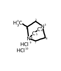 CC1CN2CCN1CC2.Cl.Cl